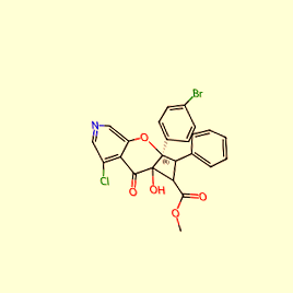 COC(=O)C1C(c2ccccc2)[C@]2(c3ccc(Br)cc3)Oc3cncc(Cl)c3C(=O)C12O